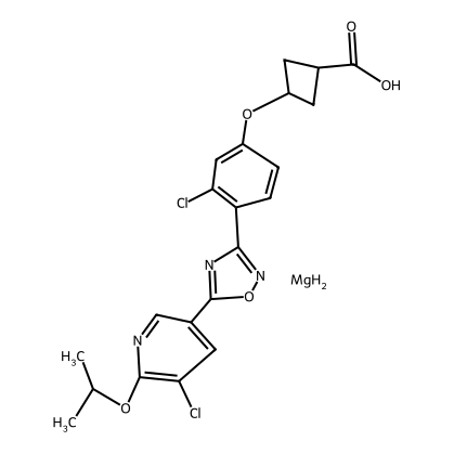 CC(C)Oc1ncc(-c2nc(-c3ccc(OC4CC(C(=O)O)C4)cc3Cl)no2)cc1Cl.[MgH2]